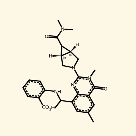 Cc1cc(C(C)Nc2ccccc2C(=O)O)c2nc(N3C[C@@H]4C(C(=O)N(C)C)[C@@H]4C3)n(C)c(=O)c2c1